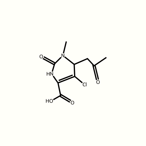 CC(=O)CC1C(Cl)=C(C(=O)O)NC(=O)N1C